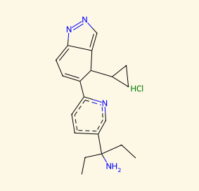 CCC(N)(CC)c1ccc(C2=CC=C3N=NC=C3C2C2CC2)nc1.Cl